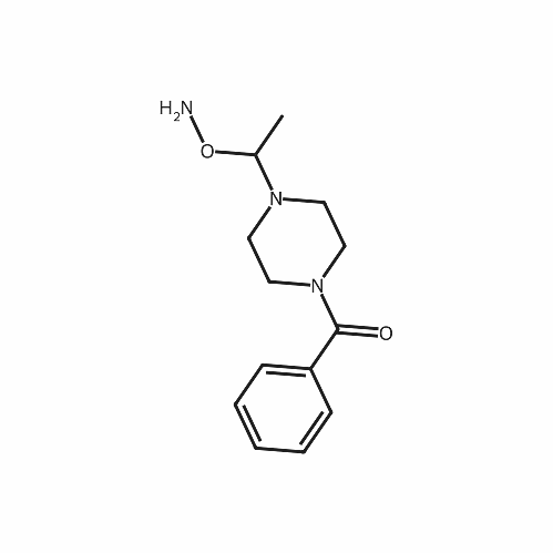 CC(ON)N1CCN(C(=O)c2ccccc2)CC1